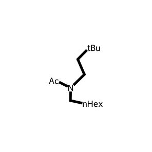 CCCCCCCN(CCC(C)(C)C)C(C)=O